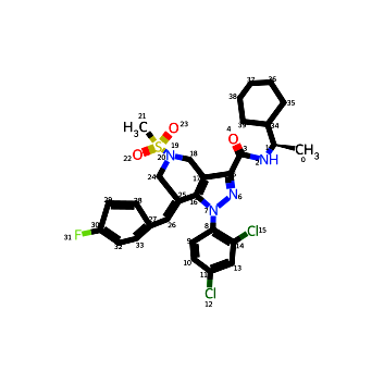 C[C@@H](NC(=O)c1nn(-c2ccc(Cl)cc2Cl)c2c1CN(S(C)(=O)=O)C/C2=C\c1ccc(F)cc1)C1CCCCC1